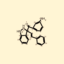 Nc1cccc(C(=O)C2(C=Cc3ccccc3)NNc3ccccc32)c1